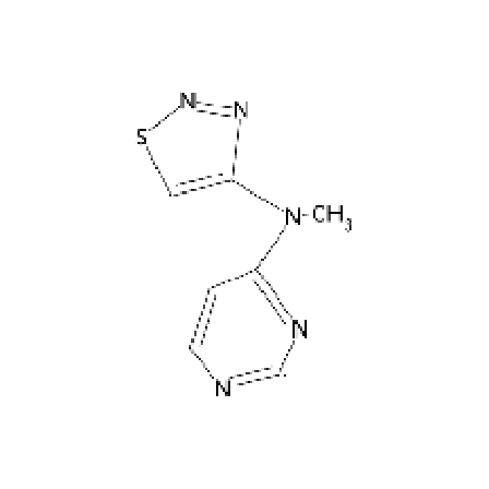 CN(c1ccn[c]n1)c1csnn1